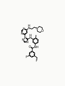 Cc1ccc(NC(=O)c2cc(F)cc(CF)c2)cc1Nc1ncnn1-c1cc(NCCN2CCOCC2)ncn1